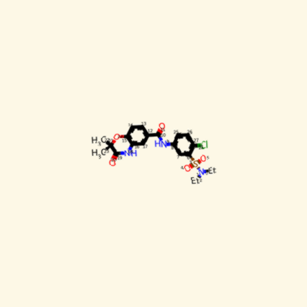 CCN(CC)S(=O)(=O)c1cc(NC(=O)c2ccc3c(c2)NC(=O)C(C)(C)O3)ccc1Cl